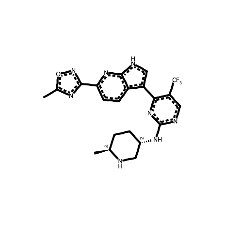 Cc1nc(-c2ccc3c(-c4nc(N[C@H]5CC[C@H](C)NC5)ncc4C(F)(F)F)c[nH]c3n2)no1